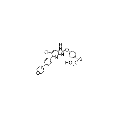 O=C(O)C1(c2ccc(Oc3nc4nc(-c5ccc(N6CCOCC6)cc5)c(Cl)cc4[nH]3)cc2)CC1